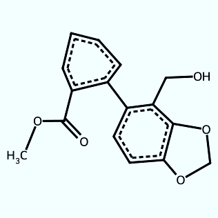 COC(=O)c1ccccc1-c1ccc2c(c1CO)OCO2